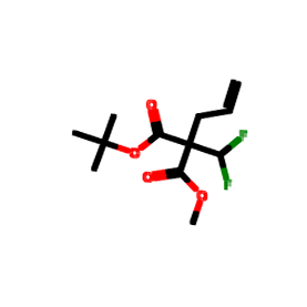 C=CCC(C(=O)OC)(C(=O)OC(C)(C)C)C(F)F